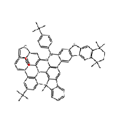 CC(C)(C)c1ccc(N2B3c4cc5occc5cc4N(c4ccc(C(C)(C)C)cc4-c4ccccc4)c4c3c(cc3c4C(C)(C)c4ccccc4-3)-c3cc4c(cc32)sc2cc3c(cc24)C(C)(C)CCC3(C)C)cc1